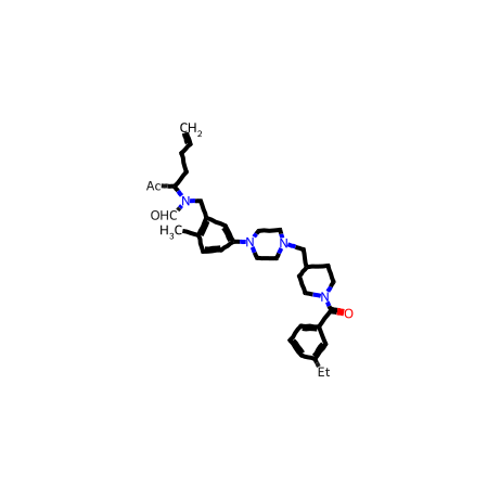 C=CCCC(C(C)=O)N(C=O)Cc1cc(N2CCN(CC3CCN(C(=O)c4cccc(CC)c4)CC3)CC2)ccc1C